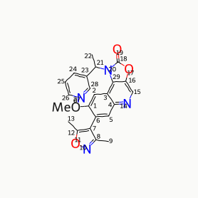 COc1cc2c(cc1-c1c(C)noc1C)ncc1oc(=O)n(C(C)c3cccnc3)c12